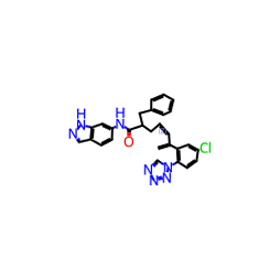 C=C(/C=C\CC(Cc1ccccc1)C(=O)Nc1ccc2cn[nH]c2c1)c1cc(Cl)ccc1-n1cnnn1